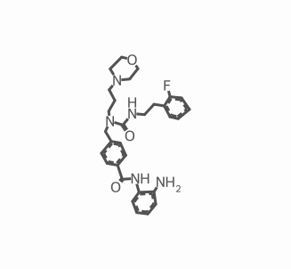 Nc1ccccc1NC(=O)c1ccc(CN(CCCN2CCOCC2)C(=O)NCCc2ccccc2F)cc1